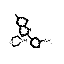 C1COCCN1.Cc1ccc2nc(-c3cccc(N)c3)ccc2c1